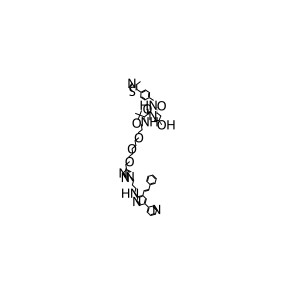 Cc1ncsc1-c1ccc(CNC(=O)[C@@H]2C[C@@H](O)CN2C(=O)[C@@H](NC(=O)CCOCCOCCOCc2cn(CCCNc3ncc(-c4cccnc4)cc3/C=C/c3ccccc3)nn2)C(C)(C)C)cc1